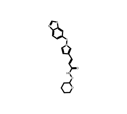 O=C(C=Cc1ccn(Sc2ccc3ncsc3c2)c1)NOC1CCCCO1